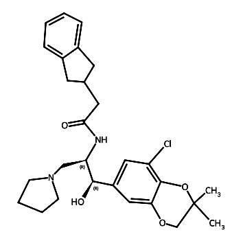 CC1(C)COc2cc([C@@H](O)[C@@H](CN3CCCC3)NC(=O)CC3Cc4ccccc4C3)cc(Cl)c2O1